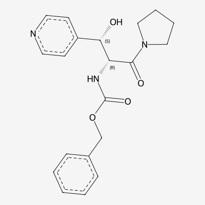 O=C(N[C@@H](C(=O)N1CCCC1)[C@@H](O)c1ccncc1)OCc1ccccc1